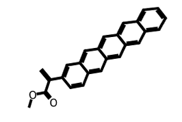 C=C(C(=O)OC)c1ccc2cc3cc4cc5ccccc5cc4cc3cc2c1